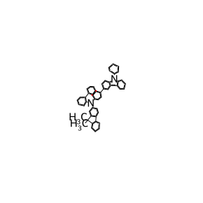 CC1(C)c2ccccc2-c2ccc(N(c3ccc(-c4ccc5c(c4)c4ccccc4n5-c4ccccc4)cc3)c3ccccc3-c3ccccc3)cc21